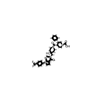 O=C(O)N1CC[C@@H](C(=O)N2CCC(O)(Cn3cnc4c(ccn4-c4ccc(C(F)F)cc4)c3=O)CC2)[C@H](c2ccccc2)C1